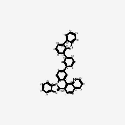 c1cc(-c2ccc3c(c2)c2c(ccc4cccnc42)c2nc4ccccc4n32)cc(-c2cccc3c2oc2ccccc23)c1